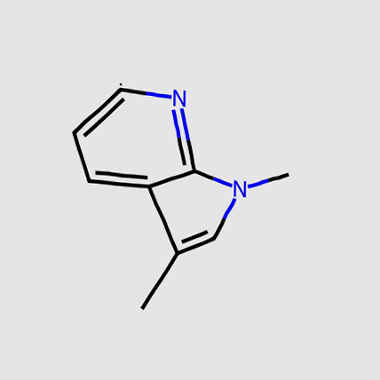 Cc1cn(C)c2n[c]ccc12